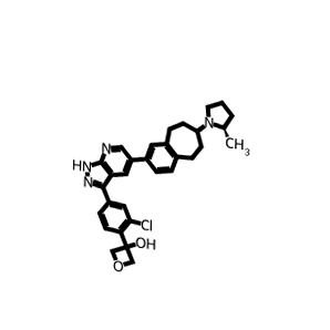 C[C@@H]1CCCN1C1CCc2ccc(-c3cnc4[nH]nc(-c5ccc(C6(O)COC6)c(Cl)c5)c4c3)cc2CC1